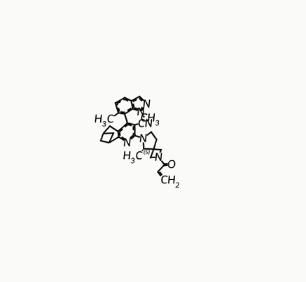 C=CC(=O)N1CC2(CCN(c3nc4c(c(-c5c(C)ccc6cnn(C)c56)c3C#N)CC3CC4C3)[C@H]2C)C1